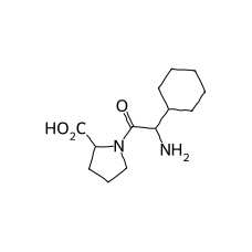 NC(C(=O)N1CCCC1C(=O)O)C1CCCCC1